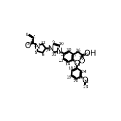 C=CC(=O)N1CCC(N2C=CN(c3ccc(Oc4cccc(OC)c4)c(CC(=O)O)c3)C2)C1